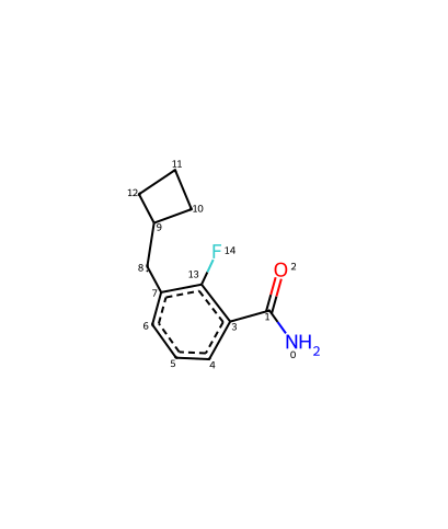 NC(=O)c1cccc([CH]C2CCC2)c1F